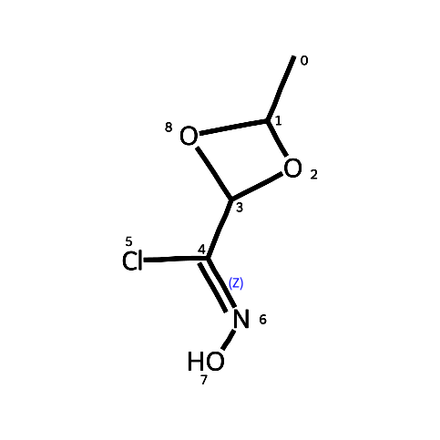 CC1OC(/C(Cl)=N/O)O1